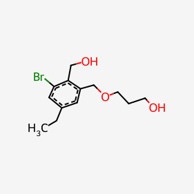 CCc1cc(Br)c(CO)c(COCCCO)c1